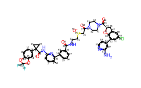 Cc1ccc(NC(=O)C2(c3ccc4c(c3)OC(F)(F)O4)CC2)nc1-c1cccc(C(=O)NCC[S+]([O-])CC(=O)N2CCN(C(=O)[C@H]3Cc4cc(Cl)cc(-c5ccnc(N)c5)c4O3)CC2)c1